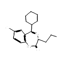 CC[C@H](C)[C@@H]1N=C(C2CCCCC2)c2cc(Cl)ccc2NC1=O